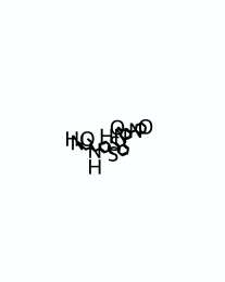 N#CCC(CO)Nc1ccc2c(c1)Sc1cccc(-c3cc(N4CCOCC4)cc(=O)[nH]3)c1S2